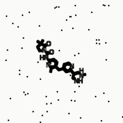 CN/C=C(\C=N)c1cc(Cc2ccc(NC(=O)N3CCC(C)(C)C3=O)nc2C)ccn1